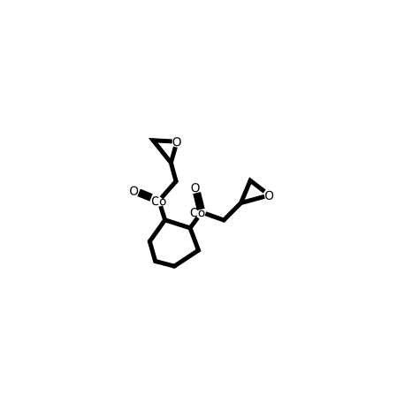 [O]=[Co]([CH2]C1CO1)[CH]1CCCC[CH]1[Co](=[O])[CH2]C1CO1